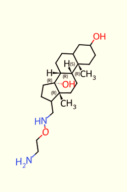 C[C@]12CCC(O)CC1CC[C@@H]1[C@H]2CC[C@]2(C)C(CNOCCN)CC[C@@]12O